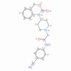 N#Cc1ccc(NC(=O)CN2CCC(N3C(=O)OCc4ccccc43)CC2)cc1